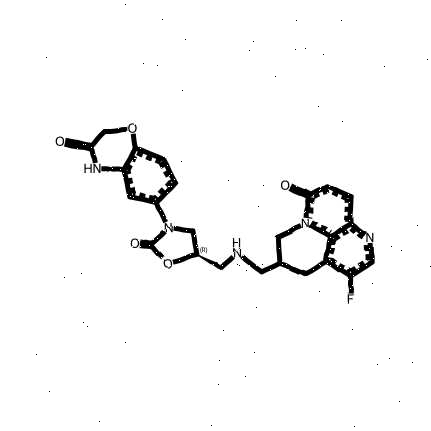 O=C1COc2ccc(N3C[C@@H](CNCC4Cc5c(F)cnc6ccc(=O)n(c56)C4)OC3=O)cc2N1